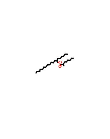 CCCCCCCCCCCCC(CCCCCC)COC(=O)C(C)CCCCCC